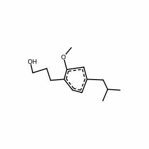 COc1cc(CC(C)C)ccc1CCCO